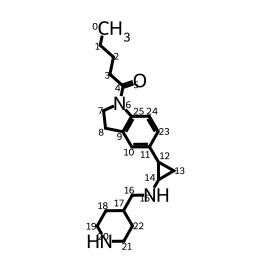 CCCCC(=O)N1CCc2cc(C3CC3NCC3CCNCC3)ccc21